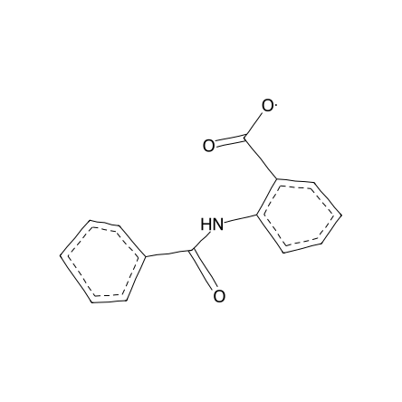 [O]C(=O)c1ccccc1NC(=O)c1ccccc1